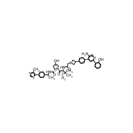 Cc1ncsc1-c1ccc([C@H](C)NC(=O)[C@@H]2C[C@@H](O)CN2C(=O)[C@@H](NC(=O)CN2CC(c3ccc(-c4cc(-c5ccccc5O)nnc4N)cc3)C2)C(C)(C)C)cc1